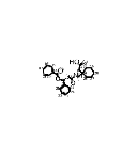 O=C(O)CC1(CNC(=O)OC(OC(=O)c2ccccc2)c2ccccc2)CCCCC1